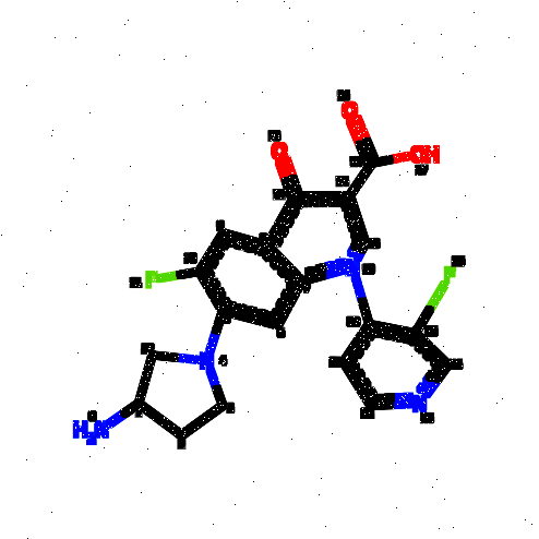 NC1CCN(c2cc3c(cc2F)c(=O)c(C(=O)O)cn3-c2ccncc2F)C1